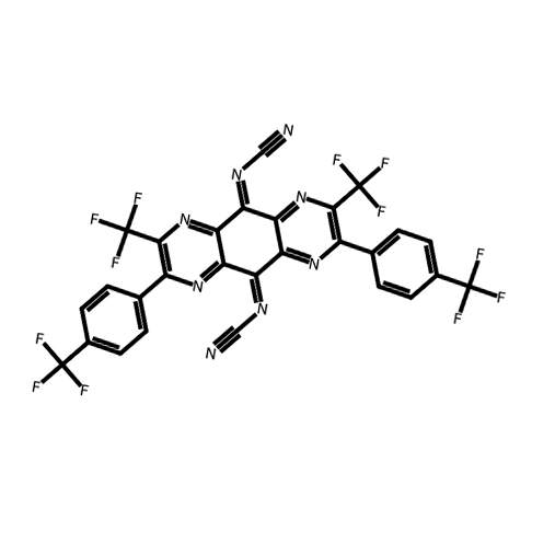 N#CN=C1c2nc(-c3ccc(C(F)(F)F)cc3)c(C(F)(F)F)nc2C(=NC#N)c2nc(C(F)(F)F)c(-c3ccc(C(F)(F)F)cc3)nc21